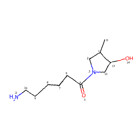 CC1CN(C(=O)CCCCCN)CC1O